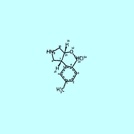 Cc1ccc2c(c1)[C@@H]1CNC[C@@H]1OC2.Cl